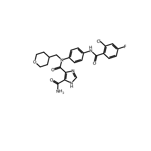 NC(=O)c1[nH]cnc1C(=O)N(CC1CCOCC1)c1ccc(NC(=O)c2ccc(F)cc2Cl)cc1